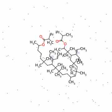 C=C/C(=C\C)C(CC(C)(C)CC(C)(C)CC(C)CCC(C)(C)C(C)(C)C(CC(C)(C)CCCC(C)OC(=O)C(C)C(C)C)/C(C=C)=C/C)C(C)(C)C(C)OC(=O)C(C)C(C)C